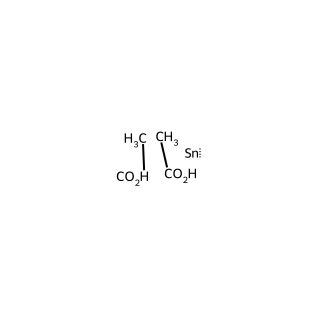 CC(=O)O.CC(=O)O.[Sn]